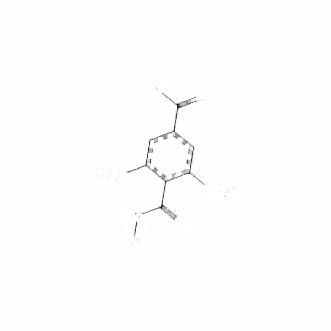 O=C(F)c1cc(C(=O)O)c(C(=O)NO)c(C(=O)O)c1